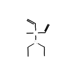 C=C[Si](C)(C=C)N(CC)CC